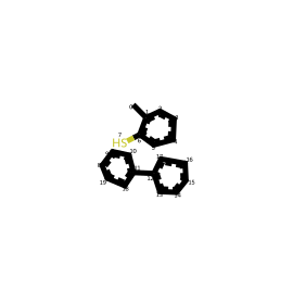 Cc1ccccc1S.c1ccc(-c2ccccc2)cc1